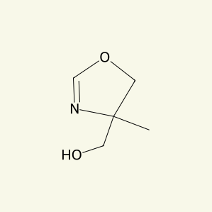 CC1(CO)COC=N1